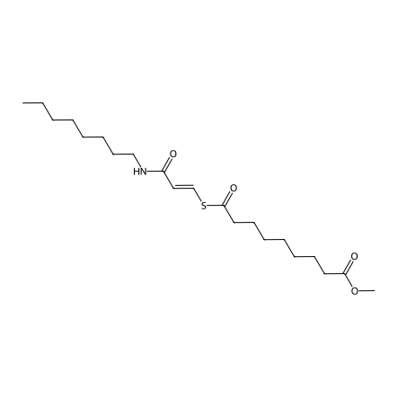 CCCCCCCCNC(=O)C=CSC(=O)CCCCCCCC(=O)OC